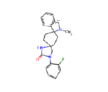 CN(C)C1(c2ccccc2)CCC2(CC1)CN(c1ccccc1F)C(=O)N2